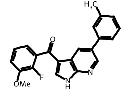 COc1cccc(C(=O)c2c[nH]c3ncc(-c4cccc(C)c4)cc23)c1F